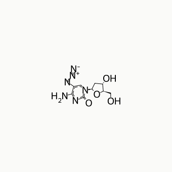 [N-]=[N+]=Nc1cn([C@H]2C[C@H](O)[C@@H](CO)O2)c(=O)nc1N